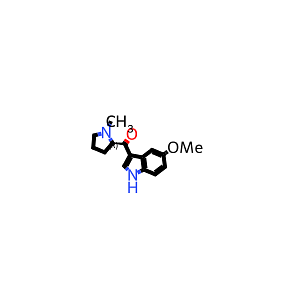 COc1ccc2[nH]cc(C(=O)[C@H]3CCCN3C)c2c1